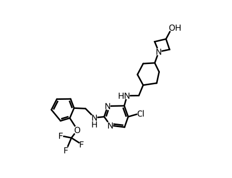 OC1CN(C2CCC(CNc3nc(NCc4ccccc4OC(F)(F)F)ncc3Cl)CC2)C1